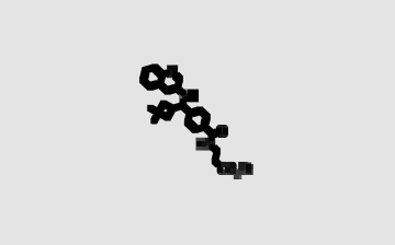 CCOC(=O)CCNC(=O)c1ccc(C(Nc2cnc3ccccc3c2)C2CC(C)(C)C2)cc1